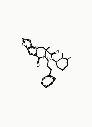 CC1CCCC(NC(=O)C2(C)Cn3c(cc4occc43)C(=O)N2CCCc2ccccc2)C1C